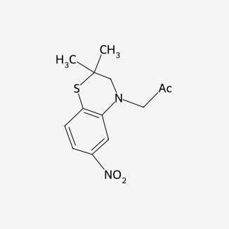 CC(=O)CN1CC(C)(C)Sc2ccc([N+](=O)[O-])cc21